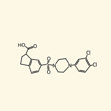 O=C(O)C1CCc2ccc(S(=O)(=O)N3CCN(c4ccc(Cl)c(Cl)c4)CC3)cc21